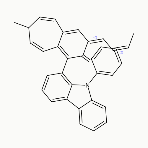 C=c1c(-c2cccc3c4ccccc4n(-c4ccccc4)c23)c2c(c/c1=C/C=C\C)C=CC(C)C=C2